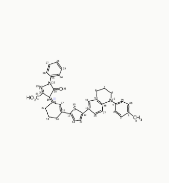 Cc1ccc(N2CCCc3cc(-c4ccc(C5=C/C(=C6\C(=O)N(c7ccccc7)N=C6C(=O)O)CCC5)s4)ccc32)cc1